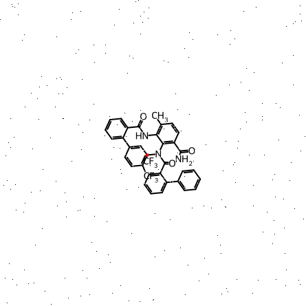 Cc1ccc(C(N)=O)c(N(CC(F)(F)F)C(=O)c2ccccc2-c2ccccc2)c1NC(=O)c1ccccc1-c1ccc(C(F)(F)F)cc1